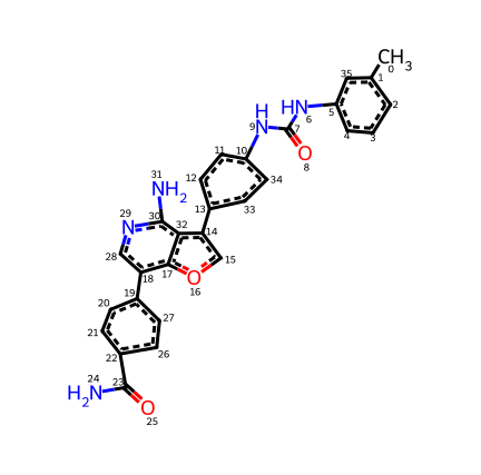 Cc1cccc(NC(=O)Nc2ccc(-c3coc4c(-c5ccc(C(N)=O)cc5)cnc(N)c34)cc2)c1